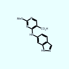 CSc1ncc(C(=O)O)c(Nc2ccc3cn[nH]c3c2)n1